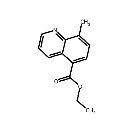 CCOC(=O)c1ccc(C)c2ncccc12